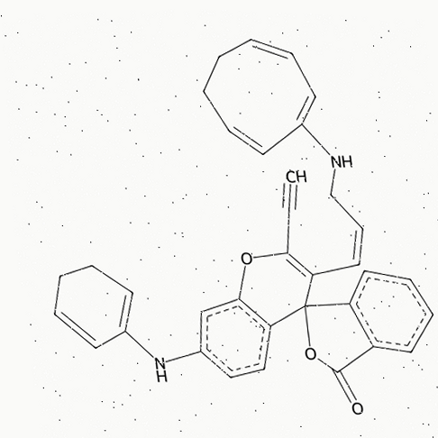 C#CC1=C(/C=C\CNC2=C/C=C\CC/C=C\2)C2(OC(=O)c3ccccc32)c2ccc(NC3=CCCC=C3)cc2O1